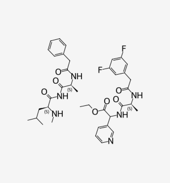 CCOC(=O)C(NC(=O)[C@H](C)NC(=O)Cc1cc(F)cc(F)c1)c1cccnc1.CN[C@@H](CC(C)C)C(=O)NC(=O)[C@H](C)NC(=O)Cc1ccccc1